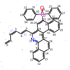 C=C/C=C\C=C\c1nc2c3ccccc3ccc2c2c1cc(P(=O)(c1ccccc1)c1ccccc1)c1ccccc12